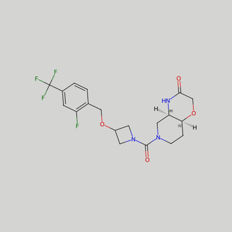 O=C1CO[C@H]2CCN(C(=O)N3CC(OCc4ccc(C(F)(F)F)cc4F)C3)C[C@H]2N1